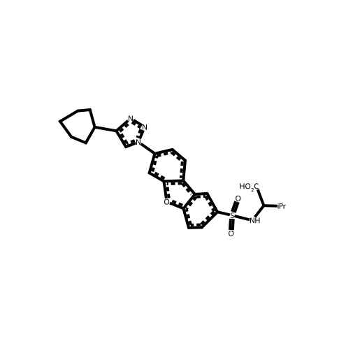 CC(C)C(NS(=O)(=O)c1ccc2oc3cc(-n4cc(C5CCCCC5)nn4)ccc3c2c1)C(=O)O